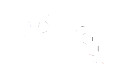 CCCc1c(OCCCn2ccc3cc(C=C4SC(=O)NC4=O)ccc32)ccc2c(C(F)(F)F)noc12